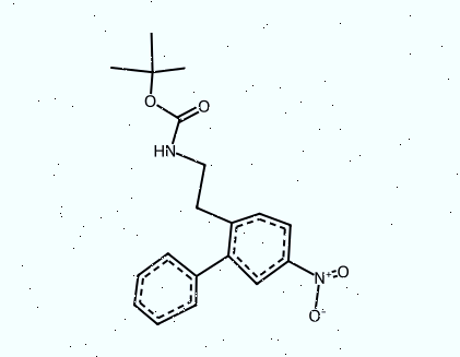 CC(C)(C)OC(=O)NCCc1ccc([N+](=O)[O-])cc1-c1ccccc1